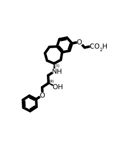 O=C(O)COc1ccc2c(c1)C[C@@H](NC[C@@H](O)COc1ccccc1)CCC2